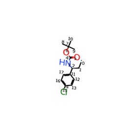 [CH2]C[C@H](NC(=O)OC(C)(C)C)c1ccc(Cl)cc1